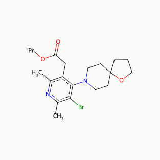 Cc1nc(C)c(CC(=O)OC(C)C)c(N2CCC3(CCCO3)CC2)c1Br